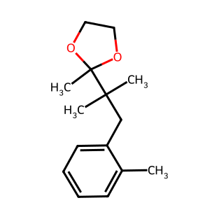 Cc1ccccc1CC(C)(C)C1(C)OCCO1